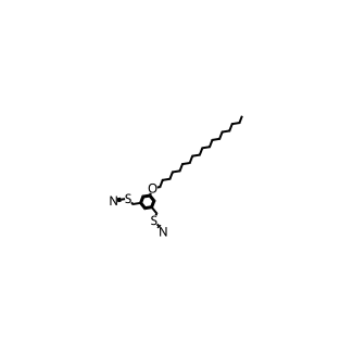 CCCCCCCCCCCCCCCCCCOc1cc(CSC#N)cc(CSC#N)c1